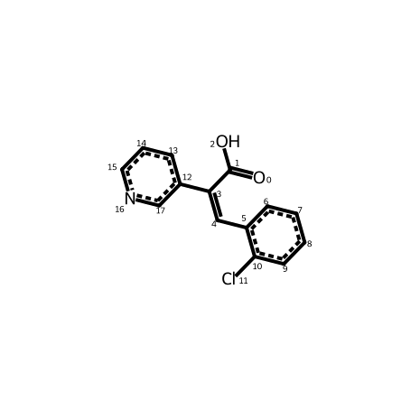 O=C(O)C(=Cc1ccccc1Cl)c1cccnc1